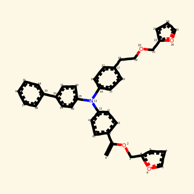 C=C(OCc1ccco1)c1ccc(N(c2ccc(CCOCc3ccco3)cc2)c2ccc(-c3ccccc3)cc2)cc1